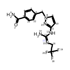 NC(=O)c1ccc(Cn2ccc(N/C(N)=N\CC(F)(F)F)n2)cc1